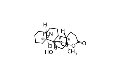 C#C[C@]12[C@@H](O)C[C@]3(C)OC(=O)CC[C@H]3[C@]1(N)CC[C@@H]1CCCC[C@@]12C